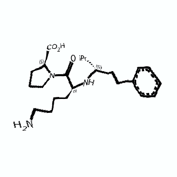 CC(C)[C@H](CCc1ccccc1)N[C@@H](CCCCN)C(=O)N1CCC[C@H]1C(=O)O